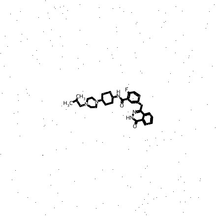 C[C](C)CN1CCN(C2CCC(NC(=O)c3cc(Cc4n[nH]c(=O)c5ccccc45)ccc3F)CC2)CC1